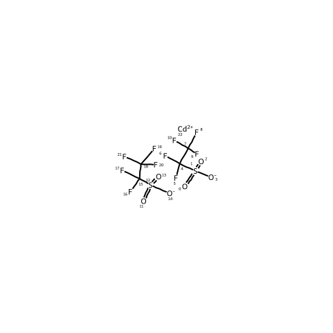 O=S(=O)([O-])C(F)(F)C(F)(F)F.O=S(=O)([O-])C(F)(F)C(F)(F)F.[Cd+2]